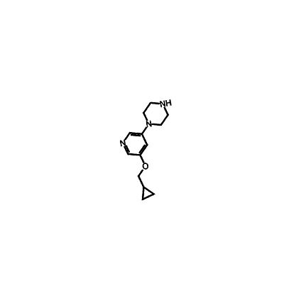 c1ncc(N2CCNCC2)cc1OCC1CC1